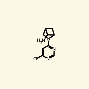 NC1C2CC1N(c1cc(Cl)ncn1)C2